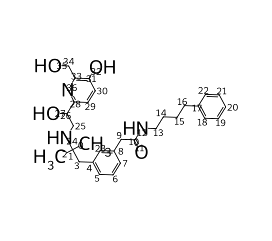 CC(C)(Cc1cccc(CC(=O)NCCCCc2ccccc2)c1)NCC(O)c1ccc(O)c(CO)n1